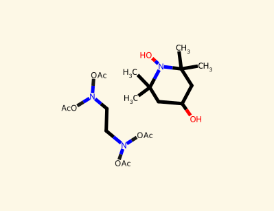 CC(=O)ON(CCN(OC(C)=O)OC(C)=O)OC(C)=O.CC1(C)CC(O)CC(C)(C)N1O